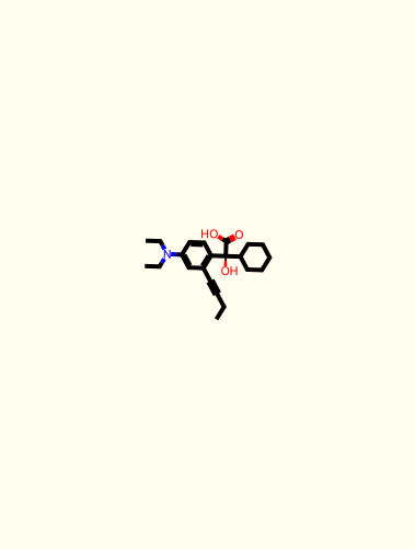 CCC#Cc1cc(N(CC)CC)ccc1[C@](O)(C(=O)O)C1CCCCC1